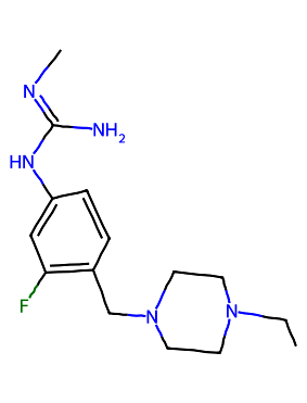 CCN1CCN(Cc2ccc(N/C(N)=N/C)cc2F)CC1